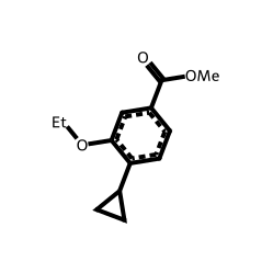 CCOc1cc(C(=O)OC)ccc1C1CC1